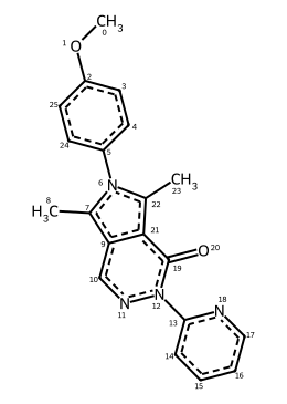 COc1ccc(-n2c(C)c3cnn(-c4ccccn4)c(=O)c3c2C)cc1